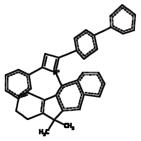 CC1(C)C2=C(C=CCC2)c2c1cc1ccccc1c2[N+]1=C(c2ccc(-c3ccccc3)cc2)C=C1c1ccccc1